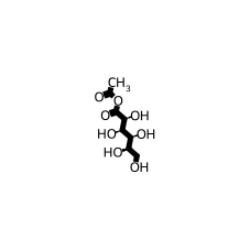 CC(=O)OC(=O)[C@H](O)[C@@H](O)[C@H](O)[C@H](O)CO